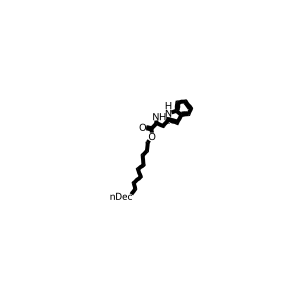 CCCCCCCCCCCCCCCCCCOC(=O)C(N)Cc1cc2ccccc2[nH]1